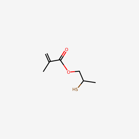 C=C(C)C(=O)OCC(C)S